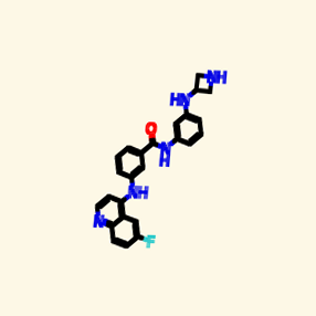 O=C(Nc1cccc(NC2CNC2)c1)c1cccc(Nc2ccnc3ccc(F)cc23)c1